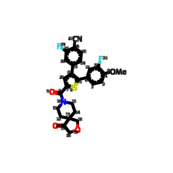 COc1ccc(-c2sc(C(=O)N3CCC4(CC3)COCC4=O)cc2-c2ccc(C#N)c(F)c2)cc1F